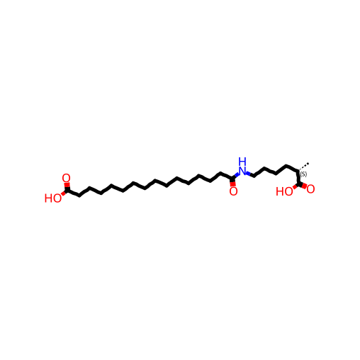 C[C@@H](CCCCNC(=O)CCCCCCCCCCCCCCC(=O)O)C(=O)O